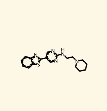 [c]1nc(NCCN2CCCCC2)ncc1-c1nc2ccccc2s1